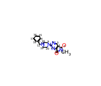 CN1C(=O)c2cnc(N3CCN(Cc4ccccc4)CC3)nc2C1=O